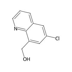 OCc1cc(Cl)cc2cccnc12